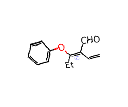 C=C/C(C=O)=C(\CC)Oc1ccccc1